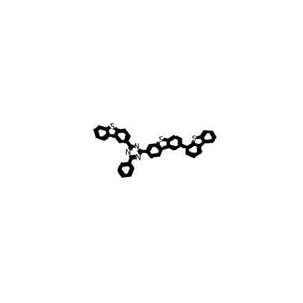 c1ccc(-c2nc(-c3ccc4c(c3)sc3ccc(-c5cccc6c5sc5ccccc56)cc34)nc(-c3ccc4sc5ccccc5c4c3)n2)cc1